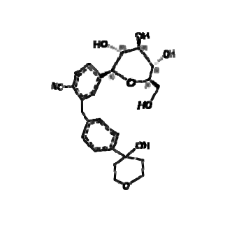 N#Cc1ccc([C@@H]2O[C@H](CO)[C@@H](O)[C@H](O)[C@H]2O)cc1Cc1ccc(C2(O)CCOCC2)cc1